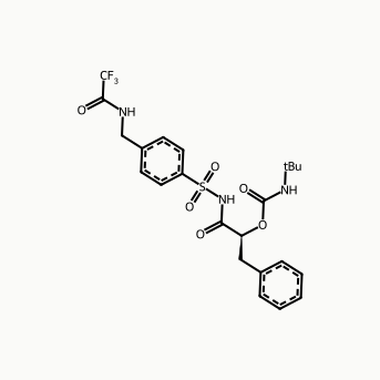 CC(C)(C)NC(=O)O[C@@H](Cc1ccccc1)C(=O)NS(=O)(=O)c1ccc(CNC(=O)C(F)(F)F)cc1